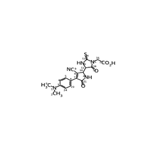 CN(C)c1ccc(C2=C(C#N)C(C3NC(=S)N(CC(=O)O)C3=O)NC2=O)cc1